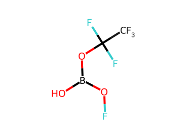 OB(OF)OC(F)(F)C(F)(F)F